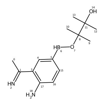 CC(=N)c1cc(BOC(C)(C)C(C)(C)O)ccc1N